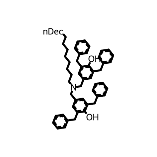 CCCCCCCCCCCCCCCCCCN(Cc1cc(Cc2ccccc2)c(O)c(Cc2ccccc2)c1)Cc1cc(Cc2ccccc2)c(O)c(Cc2ccccc2)c1